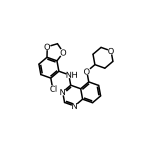 Clc1ccc2c(c1Nc1ncnc3cccc(OC4CCOCC4)c13)OCO2